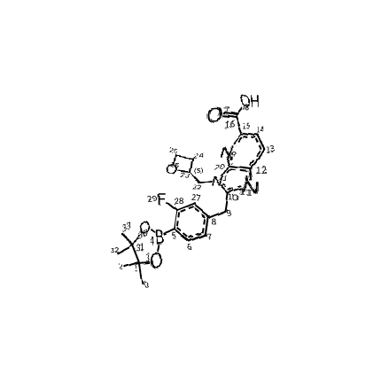 CC1(C)OB(c2ccc(Cc3nc4ccc(C(=O)O)nc4n3C[C@@H]3CCO3)cc2F)OC1(C)C